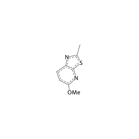 COc1ccc2nc(C)sc2n1